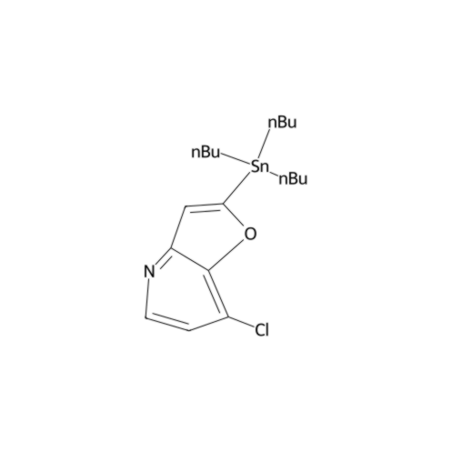 CCC[CH2][Sn]([CH2]CCC)([CH2]CCC)[c]1cc2nccc(Cl)c2o1